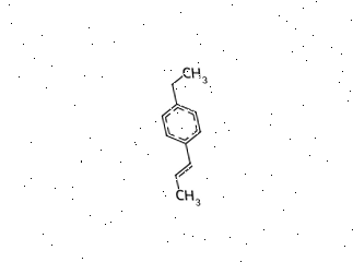 C/C=C/c1ccc(CC)cc1